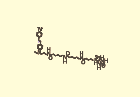 CCN(CCCNC(=O)CCCCCNC(=O)CCCCCNC(=O)CCCC[C@@H]1SC[C@@H]2NC(=O)N[C@@H]21)c1ccc(/C=C/c2ccc(N(C)C)cc2)cc1